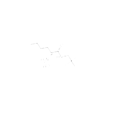 CCCC[C@@H](N)C(=O)NCC(C)(C)C.Cl